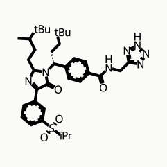 CC(CCC1N=C(c2cccc(S(=O)(=O)C(C)C)c2)C(=O)N1[C@H](CCC(C)(C)C)c1ccc(C(=O)NCc2nn[nH]n2)cc1)C(C)(C)C